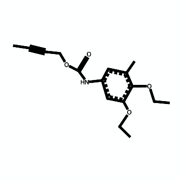 CC#CCOC(=O)Nc1cc(C)c(OCC)c(OCC)c1